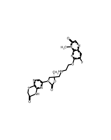 Cn1c(=O)cnc2cc(F)c(OCCNC[C@]3(C)CN(c4cnc5c(n4)NC(=O)CS5)C(=O)O3)nc21